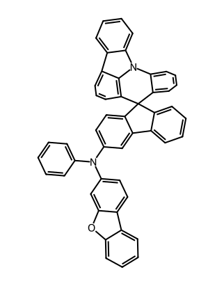 c1ccc(N(c2ccc3c(c2)-c2ccccc2C32c3ccccc3-n3c4ccccc4c4cccc2c43)c2ccc3c(c2)oc2ccccc23)cc1